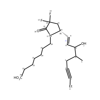 CCC#CCC(C)C(O)/C=C/[C@H]1CC(F)(F)C(=O)N1CCCCCCC(=O)O